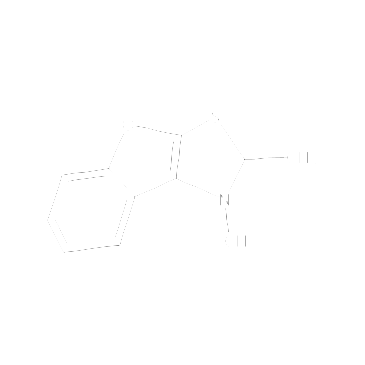 CC1Sc2oc3ccccc3c2N1C